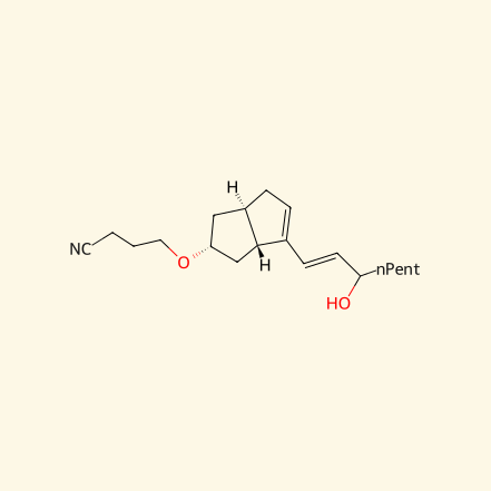 CCCCCC(O)C=CC1=CC[C@@H]2C[C@@H](OCCCC#N)C[C@@H]12